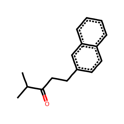 CC(C)C(=O)CCc1ccc2ccccc2c1